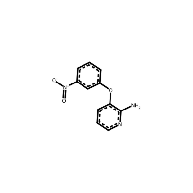 Nc1ncccc1Oc1cccc([N+](=O)[O-])c1